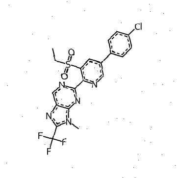 CCS(=O)(=O)c1cc(-c2ccc(Cl)cc2)cnc1-c1ncc2nc(C(F)(F)F)n(C)c2n1